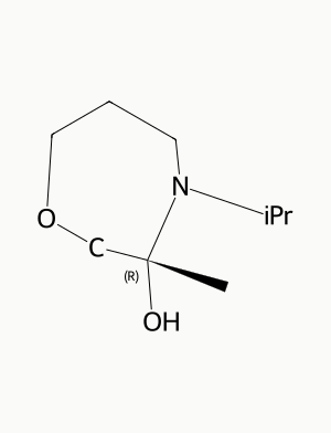 CC(C)N1CCCOC[C@@]1(C)O